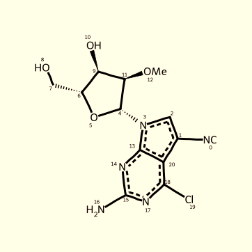 [C-]#[N+]c1cn([C@@H]2O[C@H](CO)[C@@H](O)[C@H]2OC)c2nc(N)nc(Cl)c12